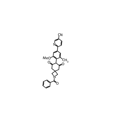 COc1cc(-c2ccc(C#N)cn2)cc(C)c1C1C(=O)CC2(CC1=O)CN(C(=O)c1ccccc1)C2